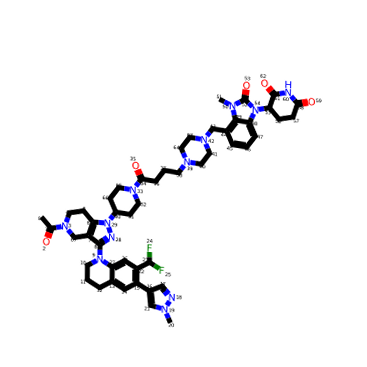 CC(=O)N1CCc2c(c(N3CCCc4cc(-c5cnn(C)c5)c(C(F)F)cc43)nn2C2CCN(C(=O)CCCN3CCN(Cc4cccc5c4n(C)c(=O)n5C4CCC(=O)NC4=O)CC3)CC2)C1